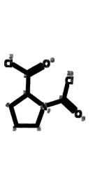 O=C(Cl)C1CCCN1C(=O)Cl